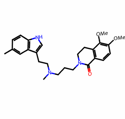 COc1ccc2c(c1OC)CCN(CCCN(C)CCc1c[nH]c3ccc(C)cc13)C2=O